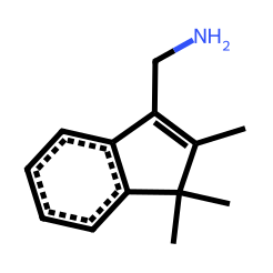 CC1=C(CN)c2ccccc2C1(C)C